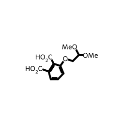 COC(COc1cccc(C(=O)O)c1C(=O)O)OC